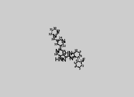 Fc1ccccc1-c1cccc2[nH]c(-c3n[nH]c4cnc(-c5cncc(CN6CCCCC6)c5)cc34)nc12